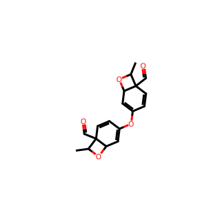 CC1OC2C=C(OC3=CC4OC(C)C4(C=O)C=C3)C=CC12C=O